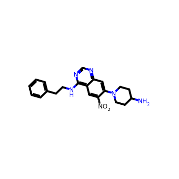 NC1CCN(c2cc3ncnc(NCCc4ccccc4)c3cc2[N+](=O)[O-])CC1